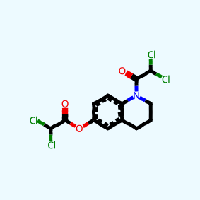 O=C(Oc1ccc2c(c1)CCCN2C(=O)C(Cl)Cl)C(Cl)Cl